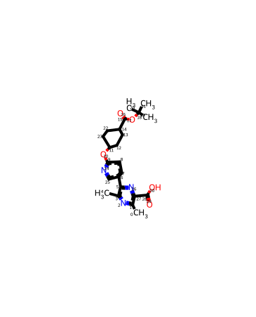 Cc1nc(C)c(-c2ccc(OC3CCC(C(=O)OC(C)(C)C)CC3)nc2)nc1C(=O)O